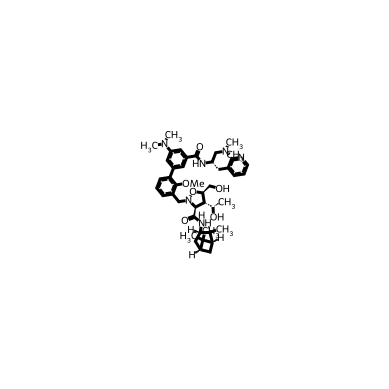 COc1c(CN2O[C@@H](CO)[C@H]([C@H](C)O)[C@H]2C(=O)N[C@H]2C[C@H]3C[C@@H]([C@@H]2C)C3(C)C)cccc1-c1cc(C(=O)N[C@@H](Cc2cccnc2)CN(C)C)cc(N(C)C)c1